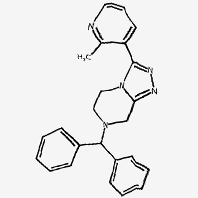 Cc1ncccc1-c1nnc2n1CCN(C(c1ccccc1)c1ccccc1)C2